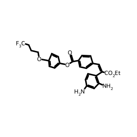 CCOC(=O)C(=Cc1ccc(C(=O)Oc2ccc(OCCCC(F)(F)F)cc2)cc1)c1ccc(N)cc1N